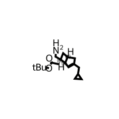 CC(C)(C)OC(=O)C[C@]1(CN)C[C@@H]2CC(CC3CC3)=C[C@@H]21